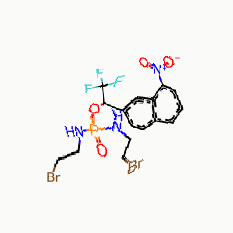 O=[N+]([O-])c1cccc2ccc(C(OP(=O)(NCCBr)NCCBr)C(F)(F)F)cc12